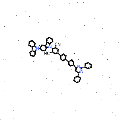 N#Cc1cc(-c2ccc(-c3ccc(-c4cc(-c5ccccc5)nc(-c5ccccc5)n4)cc3)cc2)cc(C#N)c1-n1c2ccccc2c2cc(-n3c4ccccc4c4ccccc43)ccc21